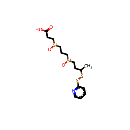 CC(CC[S+]([O-])CCC[S+]([O-])CCC(=O)O)SSc1ccccn1